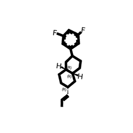 CC=C[C@@H]1CC[C@@H]2CC(c3cc(F)cc(F)c3)CC[C@@H]2C1